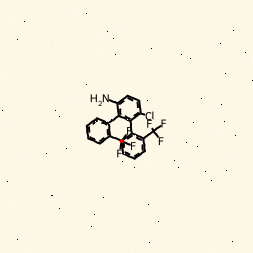 Nc1ccc(Cl)c(-c2ccccc2C(F)(F)F)c1-c1ccccc1C(F)(F)F